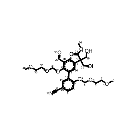 COCCOCOc1ccc(C#N)cc1-c1cc(C(CO)(CO)C(=O)OC)cc(C=O)c1OCOCCOC